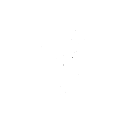 O=c1c(Cl)c(-c2ccc([N+](=O)[O-])cc2)[nH]c2c(-c3ccc(Cl)cc3)c(Cc3ccccc3)nn12